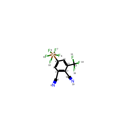 N#Cc1cc(S(F)(F)(F)(F)F)cc(C(F)(F)F)c1C#N